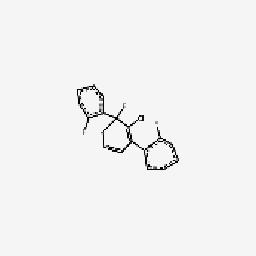 Fc1ccccc1C1=C(Cl)C(F)(c2ccccc2F)[CH]C=C1